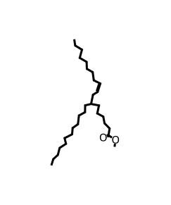 CCCCCCCC/C=C\CC(CCCCCCCCCCCC)CCCCCC(=O)OC